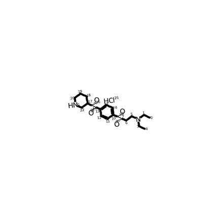 CCN(CC)CCS(=O)(=O)c1ccc(S(=O)(=O)C2CCCNC2)cc1.Cl